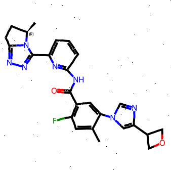 Cc1cc(F)c(C(=O)Nc2cccc(-c3nnc4n3[C@H](C)CC4)n2)cc1-n1cnc(C2COC2)c1